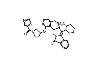 O=C(O)[C@@H]1CCCCC1C(=O)N1CCc2cccc(OC3CCN(C(=O)c4cncs4)C3)c2[C@H]1CN1Cc2ccccc2C1=O